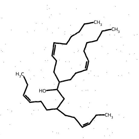 CC/C=C\CCC(CC/C=C\CC)CC(O)C(CC/C=C\CCCCC)CC/C=C\CCCCC